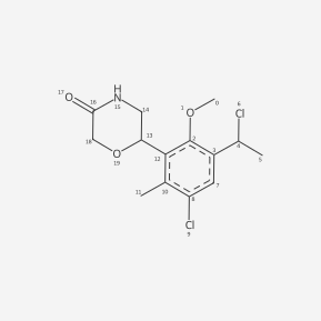 COc1c(C(C)Cl)cc(Cl)c(C)c1C1CNC(=O)CO1